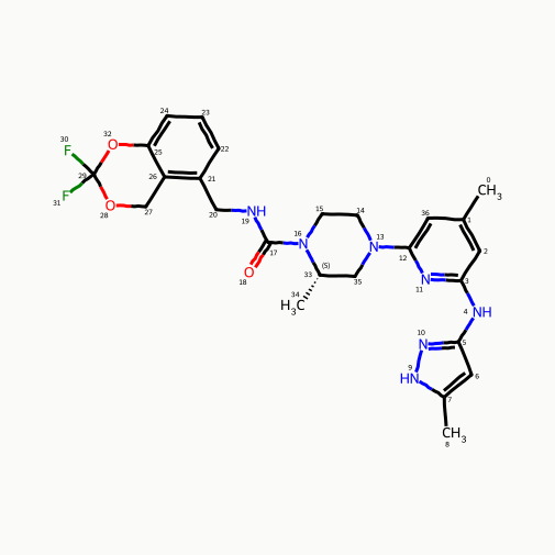 Cc1cc(Nc2cc(C)[nH]n2)nc(N2CCN(C(=O)NCc3cccc4c3COC(F)(F)O4)[C@@H](C)C2)c1